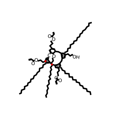 C=CC(=O)OCCCC1=CC2Cc3cc(CCCO)cc(c3OCCCCCCCCCCCCCCCCCC)Cc3cc(CCCOC(=O)C=C)cc(c3OCCCCCCCCCCCCCCCCCC)Cc3cc(CCCOC(=O)C=C)cc(c3OCCCCCCCCCCCCCCCCCC)CC(=C1)C2OCCCCCCCCCCCCCCCCCC